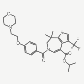 CC(C)OC(=O)C1=CN(C(=O)c2ccc(OCCN3CCOCC3)cc2)CC(C)(C)c2scc(C(F)(F)F)c21